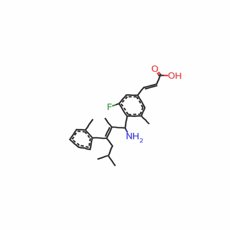 C/C(=C(/CC(C)C)c1ccccc1C)C(N)c1c(C)cc(/C=C/C(=O)O)cc1F